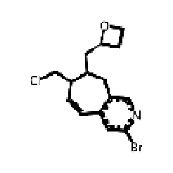 ClCC1C=Cc2cc(Br)ncc2CC1C[C@@H]1CCO1